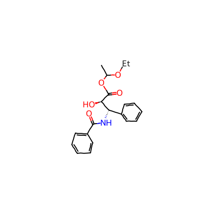 CCOC(C)OC(=O)[C@H](O)[C@@H](NC(=O)c1ccccc1)c1ccccc1